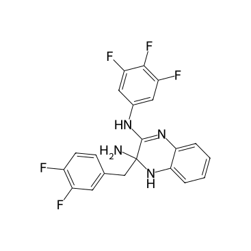 NC1(Cc2ccc(F)c(F)c2)Nc2ccccc2N=C1Nc1cc(F)c(F)c(F)c1